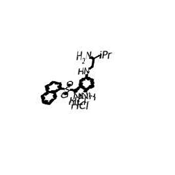 CC(C)[C@H](N)CNc1ccc2[nH]nc(S(=O)(=O)c3cccc4ccccc34)c2c1.Cl.Cl